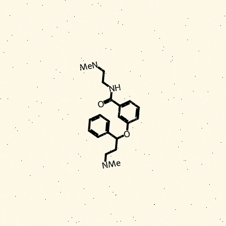 CNCCNC(=O)c1cccc(OC(CCNC)c2ccccc2)c1